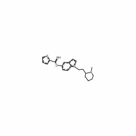 CN1CCCCC1CCn1ccc2cc(OC(=N)c3cccs3)ccc21